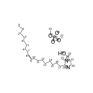 CCCCCCCC/C=C\CCCCCCCCC1=NCC[N+]1(C)C(C)O.COP(=O)([O-])OC